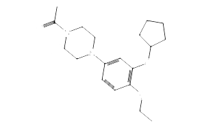 CCOc1ccc(N2CCN(C(C)=O)[C@@H](C)C2)cc1OC1CCCC1